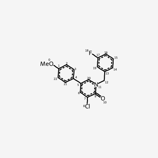 COc1ccc(-c2cc(Cl)c(=O)n(Cc3cccc(F)c3)c2)cc1